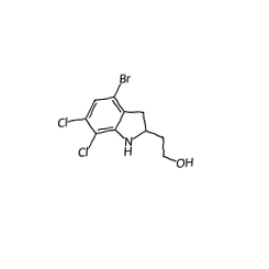 OCCC1Cc2c(Br)cc(Cl)c(Cl)c2N1